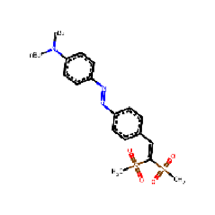 CCCCN(CCCC)c1ccc(N=Nc2ccc(C=C(S(C)(=O)=O)S(C)(=O)=O)cc2)cc1